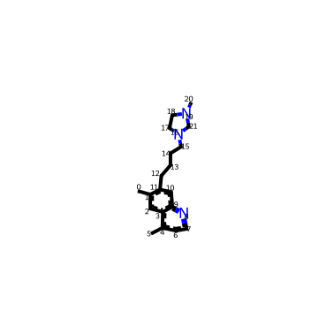 Cc1cc2c(C)ccnc2cc1CCCCN1CCN(C)C1